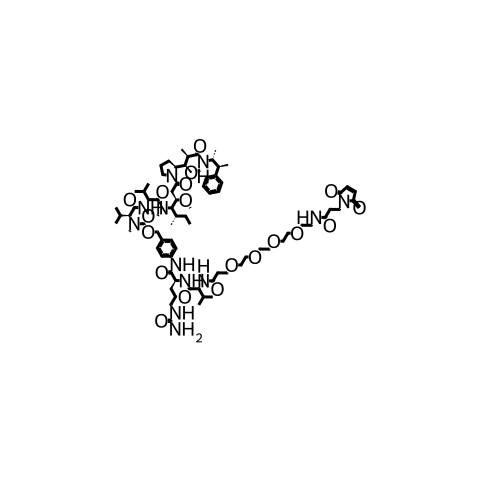 CC[C@H](C)C([C@@H](CC(=O)N1CCC[C@H]1[C@H](OC)[C@@H](C)C(=O)N[C@H](C)[C@@H](C)c1ccccc1)OC)N(C)C(=O)[C@@H](NC(=O)[C@H](C(C)C)N(C)C(=O)OCc1ccc(NC(=O)[C@H](CCCNC(N)=O)NC(=O)[C@@H](NC(=O)CCOCCOCCOCCOCCNC(=O)CCN2C(=O)C=CC2=O)C(C)C)cc1)C(C)C